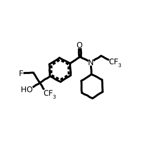 O=C(c1ccc(C(O)(CF)C(F)(F)F)cc1)N(CC(F)(F)F)C1CCCCC1